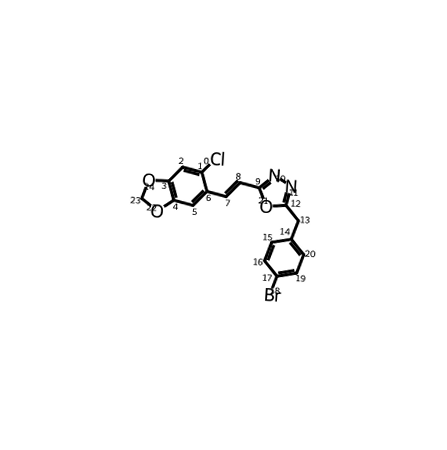 Clc1cc2c(cc1/C=C/c1nnc(Cc3ccc(Br)cc3)o1)OCO2